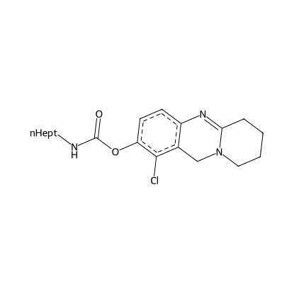 CCCCCCCNC(=O)Oc1ccc2c(c1Cl)CN1CCCCC1=N2